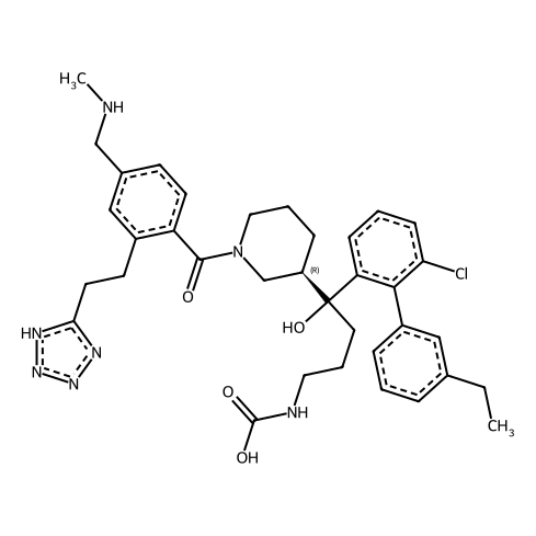 CCc1cccc(-c2c(Cl)cccc2C(O)(CCCNC(=O)O)[C@@H]2CCCN(C(=O)c3ccc(CNC)cc3CCc3nnn[nH]3)C2)c1